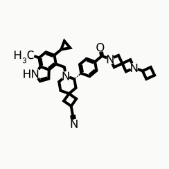 Cc1cc(C2CC2)c(CN2CCC3(CC(C#N)C3)C[C@H]2c2ccc(C(=O)N3CC4(C3)CN(C3CCC3)C4)cc2)c2cc[nH]c12